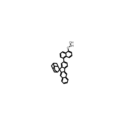 OBOc1cccc2c(-c3ccc4c(c3)C3(c5cc6ccccc6cc5-4)C4CC5CC(C4)CC3C5)cccc12